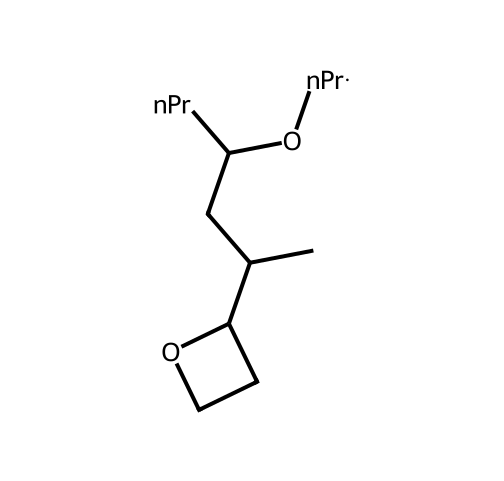 CC[CH]OC(CCC)CC(C)C1CCO1